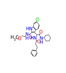 COCCNC(=O)c1[nH]c2cc(Cl)ccc2c1C(NC(=O)CCc1ccccc1)C(=O)NC1CCCCC1